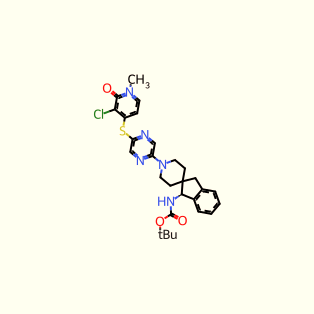 Cn1ccc(Sc2cnc(N3CCC4(CC3)Cc3ccccc3[C@H]4NC(=O)OC(C)(C)C)cn2)c(Cl)c1=O